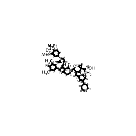 CCP(=O)(CC)c1ccc(-n2ccn(-c3c4c(nn3-c3cc(C)c(F)c(C)c3)CCN(C(=O)c3cc5cc(C6CCOCC6)cnn5c3C3(C(N)=NO)CC3)C4C)c2=O)cc1NC